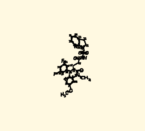 COc1cncc(N(C)C(=O)[C@@H](CCC(=O)NS(=O)(=O)N2CCc3cccnc32)Cc2cc(F)cc(F)c2)c1